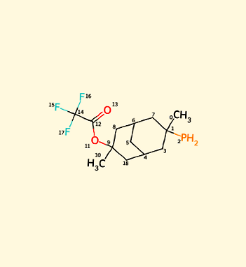 CC1(P)CC2CC(C1)CC(C)(OC(=O)C(F)(F)F)C2